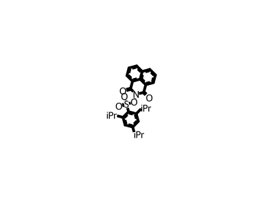 CC(C)c1cc(C(C)C)c(S(=O)(=O)ON2C(=O)c3cccc4cccc(c34)C2=O)c(C(C)C)c1